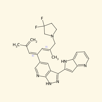 C=C(C)/C=C(\C=C(/C)CN1CCC(F)(F)C1)c1cnc2[nH]nc(-c3cc4ncccc4[nH]3)c2c1